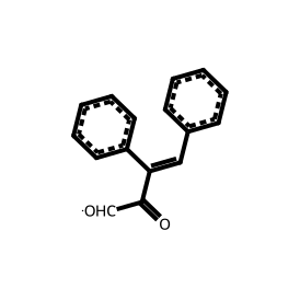 O=[C]C(=O)C(=Cc1ccccc1)c1ccccc1